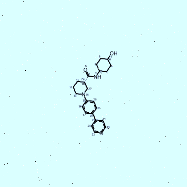 O=C(NC1CCC(O)CC1)[C@H]1CCCN(c2ccc(-c3ccccc3)cc2)C1